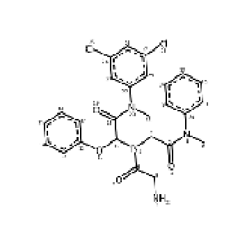 CN(C(=O)CN(C(=O)CN)C(Oc1ccccc1)C(=O)N(C)c1cc(Cl)cc(Cl)c1)c1ccccc1